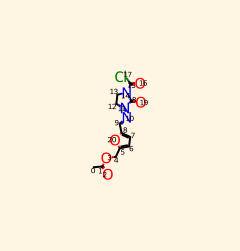 CC(=O)OCc1ccc(/C=N/N2CCN(C(=O)Cl)C2=O)o1